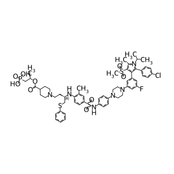 Cc1cc(S(=O)(=O)Nc2ccc(N3CCN(c4cc(F)cc(-c5c(S(C)(=O)=O)c(C)n(C(C)C)c5-c5ccc(Cl)cc5)c4)CC3)cc2)ccc1N[C@H](CCN1CCC(C(=O)OC(C)CP(=O)(O)O)CC1)CSc1ccccc1